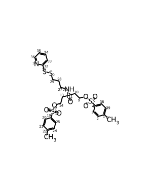 Cc1ccc(S(=O)(=O)OCCP(=O)(CCOS(=O)(=O)c2ccc(C)cc2)NCCCSSc2ccccn2)cc1